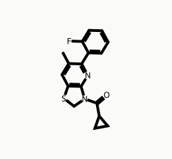 Cc1cc2c(nc1-c1ccccc1F)N(C(=O)C1CC1)CS2